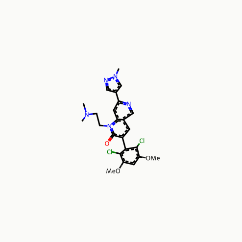 COc1cc(OC)c(Cl)c(-c2cc3cnc(-c4cnn(C)c4)cc3n(CCN(C)C)c2=O)c1Cl